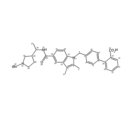 Cc1c(C)n(Cc2ccc(-c3ccccc3C(=O)O)cc2)c2ccc(C(=O)NC(C)C3CCN(C(C)(C)C)C3)cc12